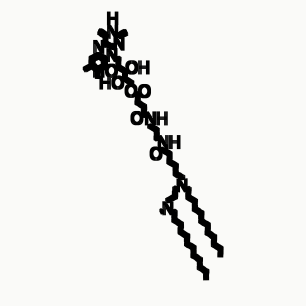 C=C1N=C2C(=Nc3cc(C)c(C)cc3N2CC(O)C(O)C(O)COC(=O)CCC(=O)NCCCNC(=O)CCCCCN(CCCCCCCCCCCC)CCCN(C)CCCCCCCCCCCC)C(=C)N1